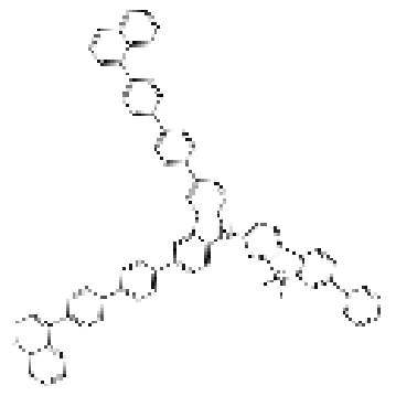 C[Si]1(C)c2cc(-c3ccccc3)ccc2-c2ccc(-n3c4ccc(-c5ccc(-c6ccc(-c7cccc8ccccc78)cc6)cc5)cc4c4cc(-c5ccc(-c6ccc(-c7cccc8ccccc78)cc6)cc5)ccc43)cc21